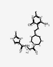 Cc1nc(N)c(CCC2CCCN(C(=O)[C@H](C)NC(=O)c3csc(C)n3)CC2)c(Cl)n1